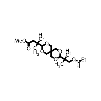 CCNOCC(C)(C)C1OCC2(CO1)COC(C(C)(C)CC(=O)OC)OC2